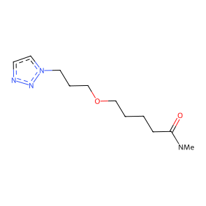 CNC(=O)CCCCOCCCn1ccnn1